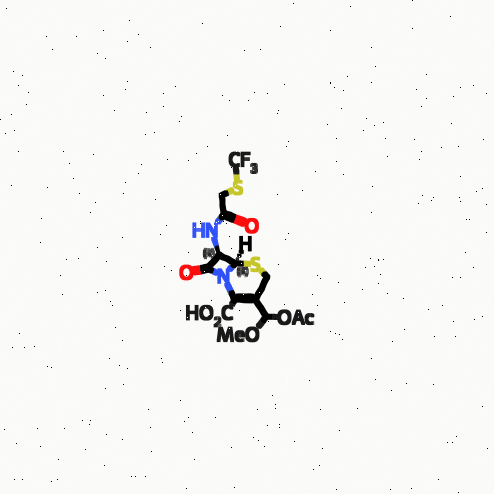 COC(OC(C)=O)C1=C(C(=O)O)N2C(=O)[C@@H](NC(=O)CSC(F)(F)F)[C@H]2SC1